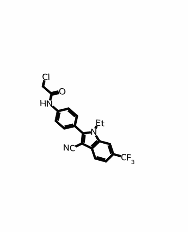 CCn1c(-c2ccc(NC(=O)CCl)cc2)c(C#N)c2ccc(C(F)(F)F)cc21